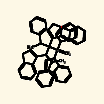 [CH2]=[Zr]([CH]1C=Cc2ccccc21)([CH]1C=Cc2ccccc21)[C](C1=CCc2ccccc21)(C(C1=CCc2ccccc21)N(C)c1ccccc1)N(C)c1ccccc1